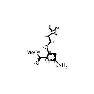 COC(=O)c1sc(N)cc1OCC[Si](C)(C)C